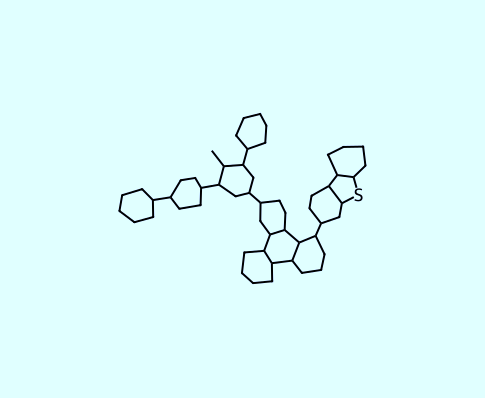 CC1C(C2CCCCC2)CC(C2CCC3C(C2)C2CCCCC2C2CCCC(C4CCC5C(C4)SC4CCCCC45)C23)CC1C1CCC(C2CCCCC2)CC1